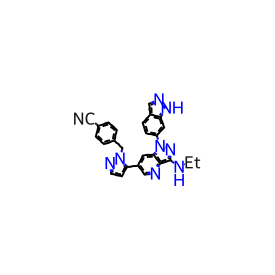 CCNc1nn(-c2ccc3cn[nH]c3c2)c2cc(-c3ccnn3Cc3ccc(C#N)cc3)cnc12